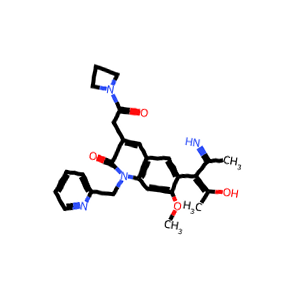 COc1cc2c(cc1/C(C(C)=N)=C(\C)O)cc(CC(=O)N1CCC1)c(=O)n2Cc1ccccn1